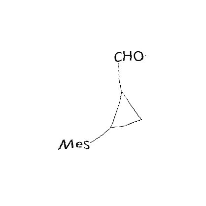 CSC1CC1[C]=O